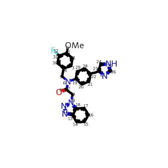 COc1ccc(CN(C(=O)Cn2nnc3ccccc32)c2ccc(-c3c[nH]cn3)cc2)cc1F